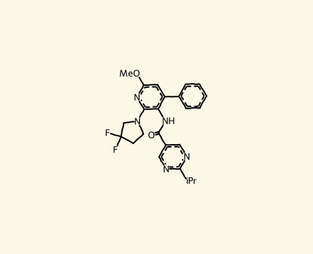 COc1cc(-c2ccccc2)c(NC(=O)c2cnc(C(C)C)nc2)c(N2CCC(F)(F)C2)n1